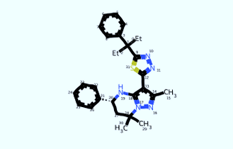 CCC(CC)(c1ccccc1)c1nnc(-c2c(C)nn3c2N[C@@H](c2ccccc2)CC3(C)C)s1